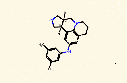 Cc1cc(C)cc(Nc2cc3c4c(c2)[C@@H]2CNC[C@@H]2CN4CCC3)c1